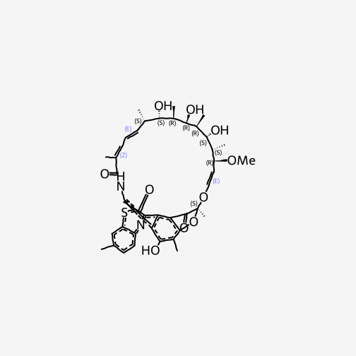 CO[C@H]1/C=C/O[C@@]2(C)Oc3c(C)c(O)c4c(=O)c(c5sc6cc(C)ccc6nc-5c4c3C2=O)NC(=O)/C(C)=C\C=C\[C@H](C)[C@H](O)[C@@H](C)[C@@H](O)[C@@H](C)[C@H](O)[C@@H]1C